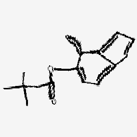 C=c1c(OC(=O)C(C)(C)C)ccc2c1=CC=C2